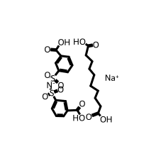 O=C(O)CCCCCCCCC(=O)O.O=C(O)c1cccc(S(=O)(=O)[N-]S(=O)(=O)c2cccc(C(=O)O)c2)c1.[Na+]